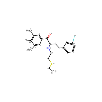 COc1cc(C(=O)C(CCc2cccc(F)c2)NCCSCC(=O)O)cc(OC)c1C